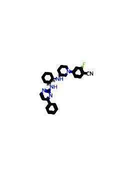 N#Cc1ccc(N2CCC[C@H](N[C@@H]3CCCC[C@H]3Nc3nccc(-c4ccccc4)n3)C2)cc1F